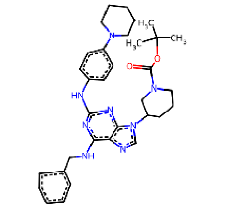 CC(C)(C)OC(=O)N1CCCC(n2cnc3c(NCc4ccccc4)nc(Nc4ccc(N5CCCCC5)cc4)nc32)C1